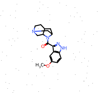 COc1ccc2[nH]nc(C(=O)N3C4CC5CCN(C4)CC53)c2c1